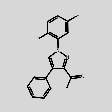 CC(=O)c1nn(-c2cc(F)ccc2F)cc1-c1ccccc1